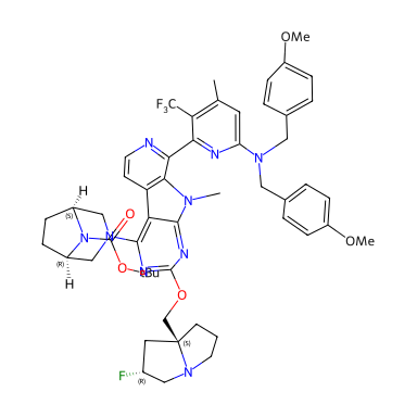 COc1ccc(CN(Cc2ccc(OC)cc2)c2cc(C)c(C(F)(F)F)c(-c3nccc4c5c(N6C[C@H]7CC[C@@H](C6)N7C(=O)OC(C)(C)C)nc(OC[C@@]67CCCN6C[C@H](F)C7)nc5n(C)c34)n2)cc1